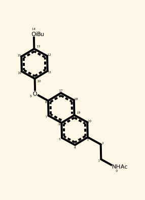 CC(=O)NCCc1ccc2cc(Oc3ccc(OCC(C)C)cc3)ccc2c1